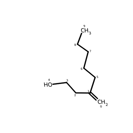 C=C(CCO)CCCCC